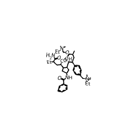 CCC(CC(C(=O)O)C1CC(NC(=O)c2ccccc2)CC1CC(CC(C)C(=O)OC[N+](C)(C)CC)c1ccc(C[N+](C)(C)CC)cc1)C(N)=O